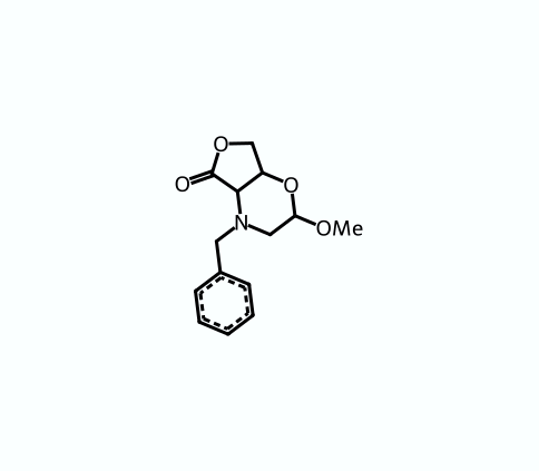 COC1CN(Cc2ccccc2)C2C(=O)OCC2O1